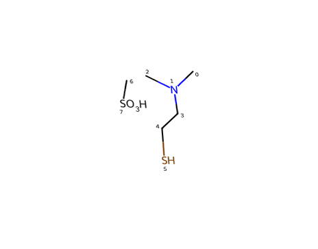 CN(C)CCS.CS(=O)(=O)O